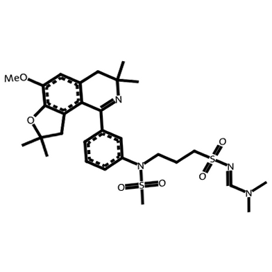 COc1cc2c(c3c1OC(C)(C)C3)C(c1cccc(N(CCCS(=O)(=O)N=CN(C)C)S(C)(=O)=O)c1)=NC(C)(C)C2